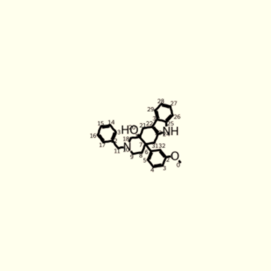 COc1cccc(C23CCN(Cc4ccccc4)CC2(O)Cc2c([nH]c4ccccc24)C3)c1